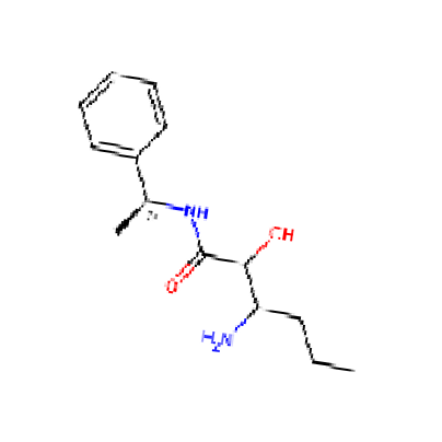 CCCC(N)C(O)C(=O)N[C@@H](C)c1ccccc1